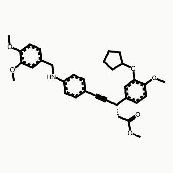 COC(=O)C[C@H](C#Cc1ccc(NCc2ccc(OC)c(OC)c2)cc1)c1ccc(OC)c(OC2CCCC2)c1